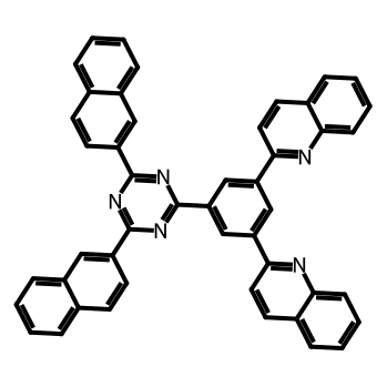 c1ccc2cc(-c3nc(-c4cc(-c5ccc6ccccc6n5)cc(-c5ccc6ccccc6n5)c4)nc(-c4ccc5ccccc5c4)n3)ccc2c1